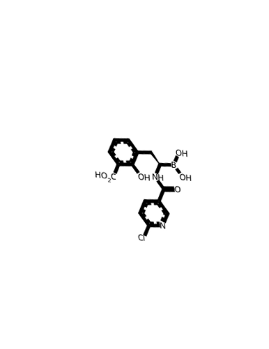 O=C(N[C@@H](Cc1cccc(C(=O)O)c1O)B(O)O)c1ccc(Cl)nc1